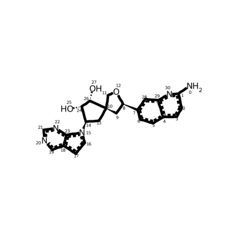 Nc1ccc2ccc([C@H]3C[C@@]4(CO3)C[C@@H](n3ccc5cncnc53)[C@H](O)[C@@H]4O)cc2n1